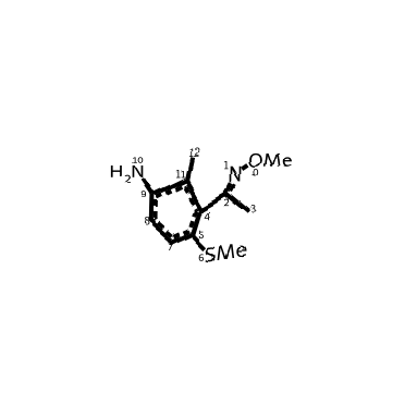 CON=C(C)c1c(SC)ccc(N)c1C